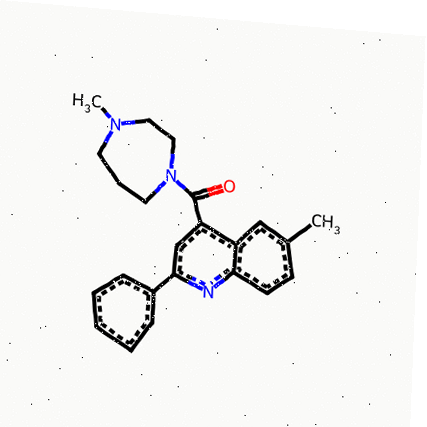 Cc1ccc2nc(-c3ccccc3)cc(C(=O)N3CCCN(C)CC3)c2c1